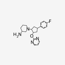 NC1CCCN(C2CC(c3ccc(F)cc3)CC2Oc2ncccn2)C1